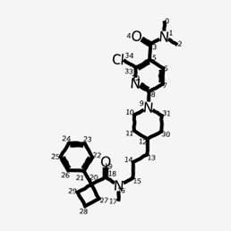 CN(C)C(=O)c1ccc(N2CCC(CCCN(C)C(=O)C3(c4ccccc4)CCC3)CC2)nc1Cl